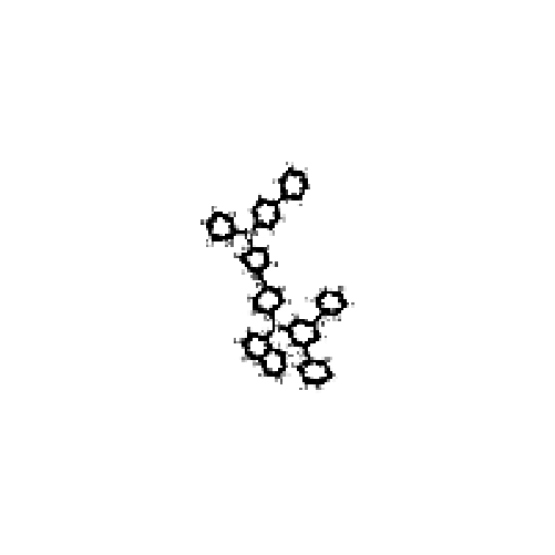 c1ccc(-c2ccc(N(c3ccccc3)c3ccc(-c4ccc(N(c5cc(-c6ccccc6)cc(-c6ccccc6)c5)c5cccc6ccccc56)cc4)cc3)cc2)cc1